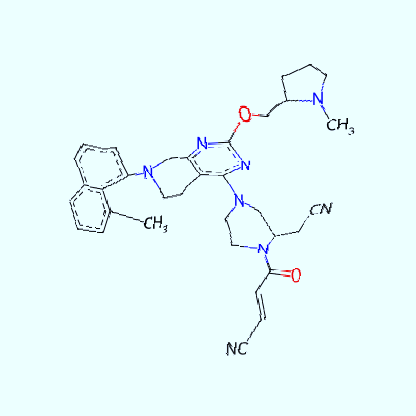 Cc1cccc2cccc(N3CCc4c(nc(OCC5CCCN5C)nc4N4CCN(C(=O)/C=C/C#N)C(CC#N)C4)C3)c12